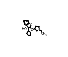 CCN1CCC(OC(=O)[C@](O)(c2ccccc2)C2CCCC2)C1